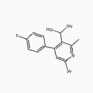 Cc1nc(C(C)C)cc(-c2ccc(F)cc2)c1C(O)O